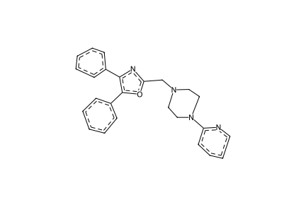 c1ccc(-c2nc(CN3CCN(c4ccccn4)CC3)oc2-c2ccccc2)cc1